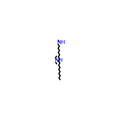 CCCCCCCCCCCCCCCCCCNC.CCNCC